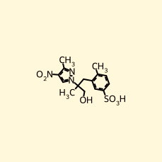 Cc1ccc(S(=O)(=O)O)cc1CC(C)(CO)n1cc([N+](=O)[O-])c(C)n1